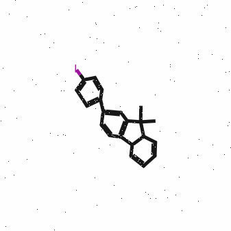 CC1(C)c2cc(-c3ccc(I)cc3)ccc2C2C=CC=CC21